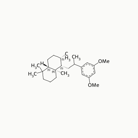 COc1cc(OC)cc(C(C)C[C@H]2[C@@H](C)CC[C@H]3C(C)(C)CCC[C@]23C)c1